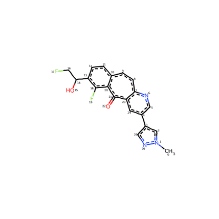 Cn1cc(-c2cnc3ccc4ccc(C(O)CF)c(F)c4c(=O)c3c2)cn1